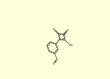 O=Nc1cccc(-c2c(O)c(=O)c2=O)c1